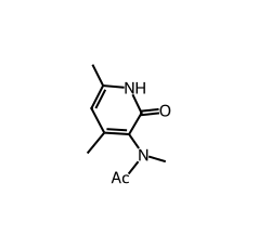 [CH2]C(=O)N(C)c1c(C)cc(C)[nH]c1=O